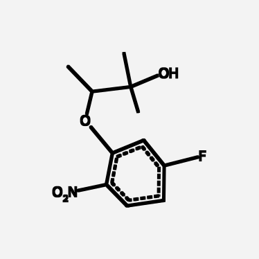 CC(Oc1cc(F)ccc1[N+](=O)[O-])C(C)(C)O